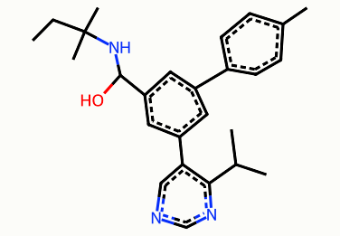 CCC(C)(C)NC(O)c1cc(-c2ccc(C)cc2)cc(-c2cncnc2C(C)C)c1